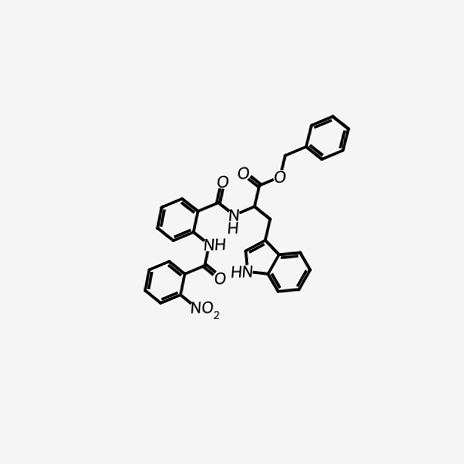 O=C(NC(Cc1c[nH]c2ccccc12)C(=O)OCc1ccccc1)c1ccccc1NC(=O)c1ccccc1[N+](=O)[O-]